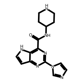 O=C(NC1CCNCC1)c1nc(-n2ccnc2)nc2cc[nH]c12